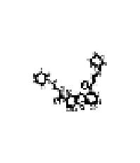 O=C(CCCN1CCCCC1)c1ccc2c(c1)Cc1c(cccc1C(=O)CCCN1CCCCC1)S2